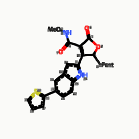 CCCCCC1OC(=O)C(C(=O)NOC)=C1c1cc2cc(-c3cccs3)ccc2[nH]1